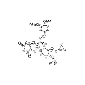 COc1ccc(OCC(=O)O[C@@H](Cc2c(Cl)c[n+]([O-])cc2Cl)c2ccc(OC(F)F)c(OCC3CC3)c2)cc1OC